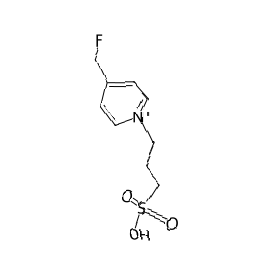 O=S(=O)(O)CCC[n+]1ccc(CF)cc1